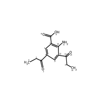 CCC(=O)c1cc(C(=O)O)c(N)c(C(=O)CC)c1